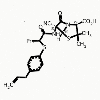 C=CCc1ccc(SC(C(=O)N[C@@]2(C#N)C(=O)N3[C@@H](C(=O)O)C(C)(C)S[C@@H]32)C(C)C)cc1